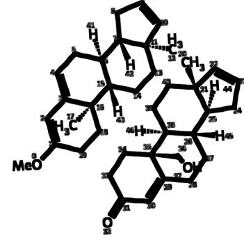 COC1=CC2=CC[C@H]3[C@@H]4CC=C[C@@]4(C)CC[C@@H]3[C@@]2(C)CC1.C[C@@]12C=CC[C@H]1[C@@H]1CCC3=CC(=O)CC[C@]3(CO)[C@H]1CC2